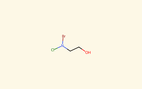 OCCN(Cl)Br